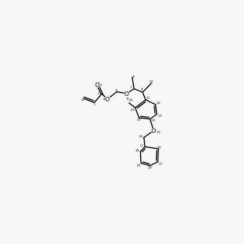 C=CC(=O)OCOC(C)C(C)c1ccc(OCc2ccccc2)cc1C